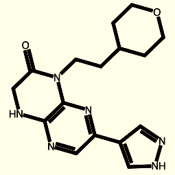 O=C1CNc2ncc(-c3cn[nH]c3)nc2N1CCC1CCOCC1